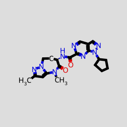 Cc1cc2n(n1)CC[C@H](NC(=O)c1ncc3cnn(C4CCCC4)c3n1)C(=O)N2C